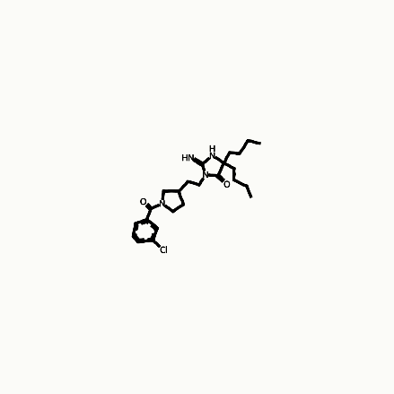 CCCCC1(CCCC)NC(=N)N(CCC2CCN(C(=O)c3cccc(Cl)c3)C2)C1=O